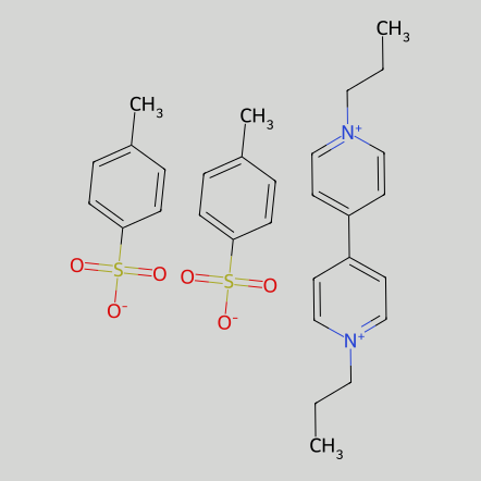 CCC[n+]1ccc(-c2cc[n+](CCC)cc2)cc1.Cc1ccc(S(=O)(=O)[O-])cc1.Cc1ccc(S(=O)(=O)[O-])cc1